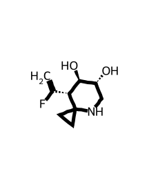 C=C(F)[C@@H]1[C@@H](O)[C@H](O)CNC12CC2